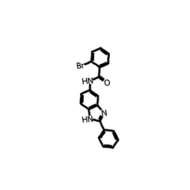 O=C(Nc1ccc2[nH]c(-c3ccccc3)nc2c1)c1ccccc1Br